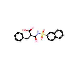 O=C(O)C(Cc1ccccc1)C(=O)NS(=O)(=O)c1ccc2ccccc2c1